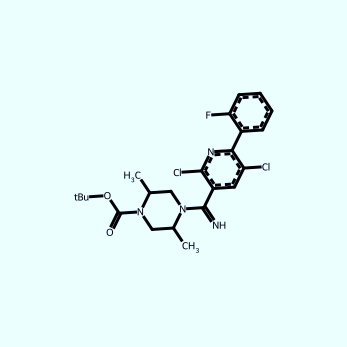 CC1CN(C(=O)OC(C)(C)C)C(C)CN1C(=N)c1cc(Cl)c(-c2ccccc2F)nc1Cl